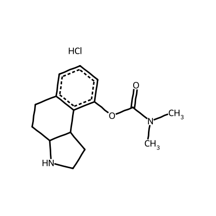 CN(C)C(=O)Oc1cccc2c1C1CCNC1CC2.Cl